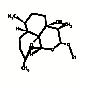 CCO[C@@H]1O[C@@H]2OC3(C)CC[C@H]4[C@H](C)CC[C@@](C)([C@H]1C)[C@@]24OO3